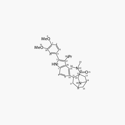 COc1ccc(-c2[nH]c3ccc(C4CCC5CC(C4)N5CC(=O)N(C)C)cc3c2C(C)C)cc1OC